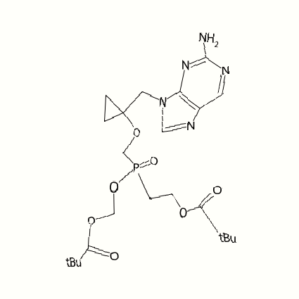 CC(C)(C)C(=O)OCCP(=O)(COC1(Cn2cnc3cnc(N)nc32)CC1)OCOC(=O)C(C)(C)C